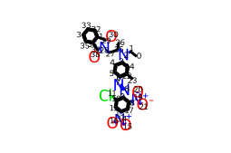 CCN(c1ccc(/N=N/c2c(Cl)cc([N+](=O)[O-])cc2[N+](=O)[O-])c(C)c1)C(C)CN1C(=O)c2ccccc2C1=O